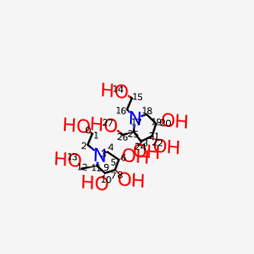 OCCN1C[C@H](O)[C@@H](O)[C@H](O)[C@H]1CO.OCCN1C[C@H](O)[C@@H](O)[C@H](O)[C@H]1CO